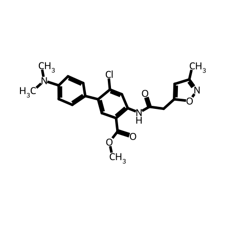 COC(=O)c1cc(-c2ccc(N(C)C)cc2)c(Cl)cc1NC(=O)Cc1cc(C)no1